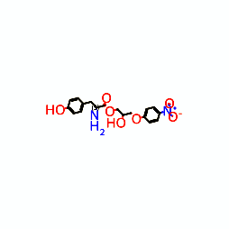 N[C@@H](Cc1ccc(O)cc1)C(=O)OCC(O)COc1ccc([N+](=O)[O-])cc1